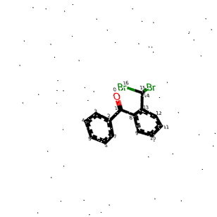 O=C(c1ccccc1)c1ccccc1C(Br)Br